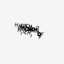 C=CC(=O)NC1C(C)(C)CN(S(=O)(=O)c2ccc(C(=O)NCc3ccc(F)c(F)c3)cc2)CC1(C)C